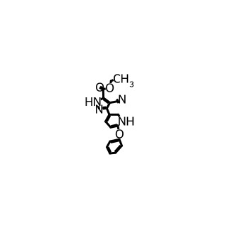 CCOC(=O)c1[nH]nc(C2=CC=C(Oc3ccccc3)NC2)c1C#N